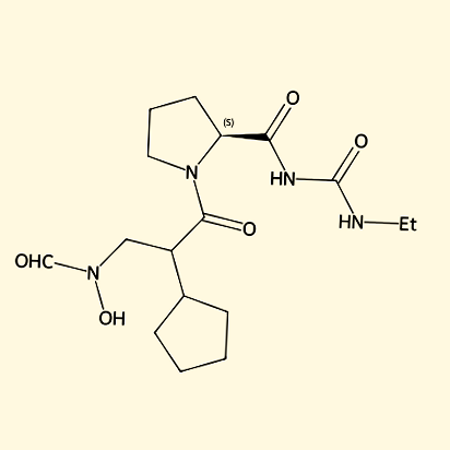 CCNC(=O)NC(=O)[C@@H]1CCCN1C(=O)C(CN(O)C=O)C1CCCC1